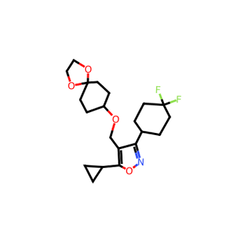 FC1(F)CCC(c2noc(C3CC3)c2COC2CCC3(CC2)OCCO3)CC1